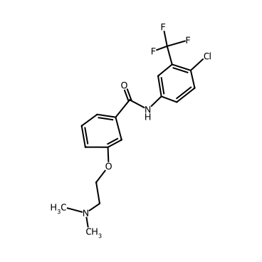 CN(C)CCOc1cccc(C(=O)Nc2ccc(Cl)c(C(F)(F)F)c2)c1